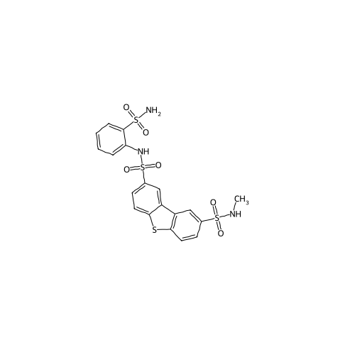 CNS(=O)(=O)c1ccc2sc3ccc(S(=O)(=O)Nc4ccccc4S(N)(=O)=O)cc3c2c1